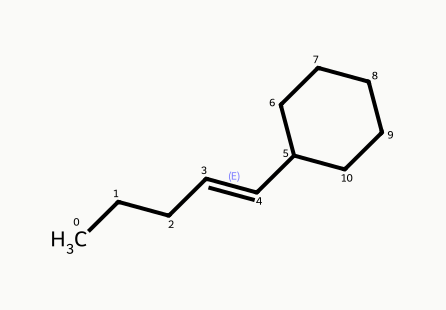 CCC/C=C/C1CCCCC1